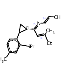 C/C=C/N=C(\C=C(/C)CC)[C@H]1CC1c1ccc(C)cc1C(C)C